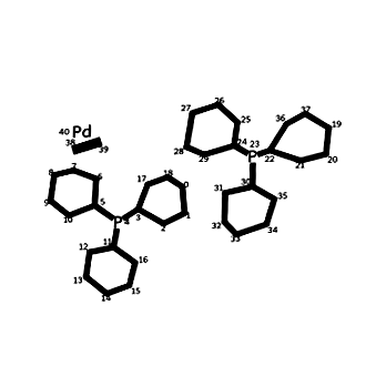 C1CCC(P(C2CCCCC2)C2CCCCC2)CC1.C1CCC(P(C2CCCCC2)C2CCCCC2)CC1.C=C.[Pd]